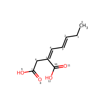 CCC=CC=C(CC(=O)O)C(=O)O